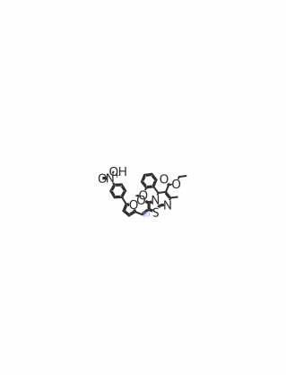 CCOC(=O)C1=C(C)N=c2s/c(=C/c3ccc(-c4ccc([N+](=O)O)cc4)o3)c(=O)n2C1c1ccccc1OC